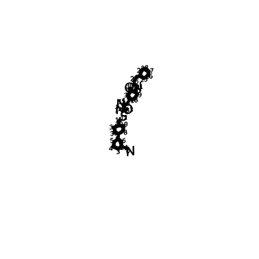 N#Cc1cccc(-c2ccc(CSc3nnc(-c4ccc5nc(Cc6ccccc6)oc5c4)o3)cc2)c1